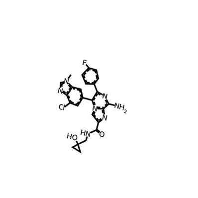 Cn1cnc2c(Cl)cc(-c3c(-c4ccc(F)cc4)nc(N)c4nc(C(=O)NCC5(O)CC5)cn34)cc21